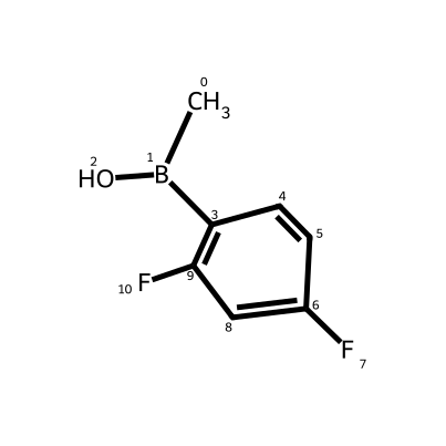 CB(O)c1ccc(F)cc1F